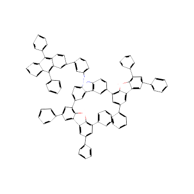 c1ccc(-c2cc(-c3ccccc3)c3oc4c(-c5ccc6c(c5)c5cc(-c7cc(-c8ccccc8)cc8c7oc7c(-c9ccccc9)cc(-c9ccccc9)cc78)ccc5n6-c5cccc(-c6ccc7c(-c8ccccc8)c8ccccc8c(-c8ccccc8)c7c6)c5)cc(-c5ccccc5)cc4c3c2)cc1